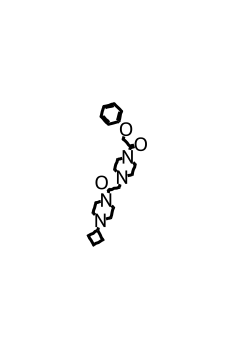 O=C(COc1ccccc1)N1CCN(CC(=O)N2CCN(C3CCC3)CC2)CC1